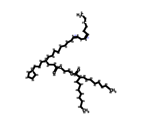 CCCCC/C=C\C/C=C\CCCCCCCCN(CCCN1CCCC1)CCC(=O)OCCOC(=O)C(CCCCCCCC)CCCCCCCC